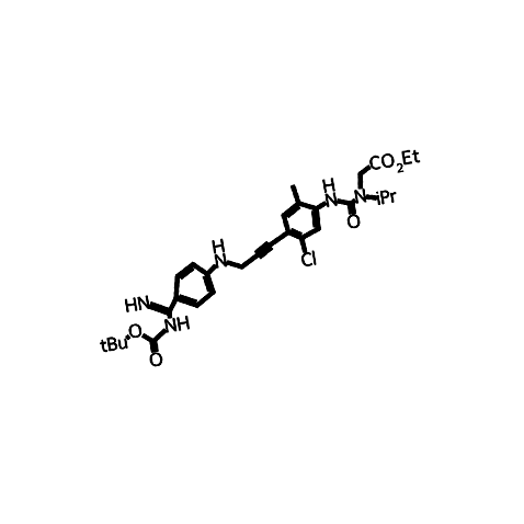 CCOC(=O)CN(C(=O)Nc1cc(Cl)c(C#CCNc2ccc(C(=N)NC(=O)OC(C)(C)C)cc2)cc1C)C(C)C